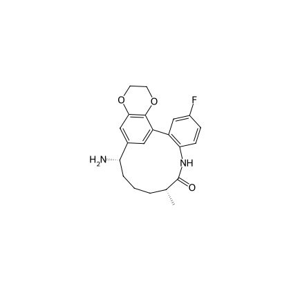 C[C@@H]1CCC[C@H](N)c2cc3c(c(c2)-c2cc(F)ccc2NC1=O)OCCO3